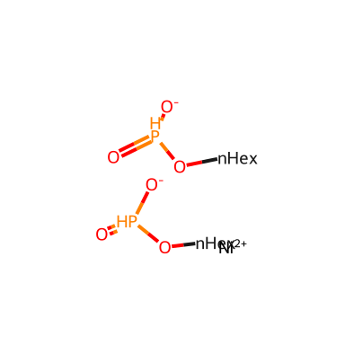 CCCCCCO[PH](=O)[O-].CCCCCCO[PH](=O)[O-].[Ni+2]